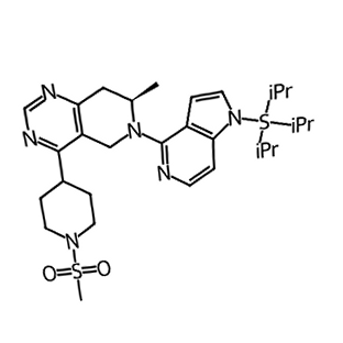 CC(C)S(C(C)C)(C(C)C)n1ccc2c(N3Cc4c(ncnc4C4CCN(S(C)(=O)=O)CC4)C[C@H]3C)nccc21